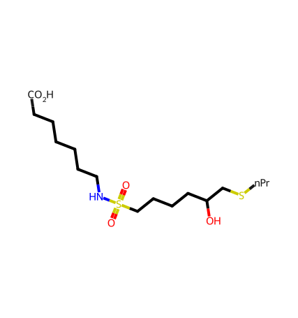 CCCSCC(O)CCCCS(=O)(=O)NCCCCCCC(=O)O